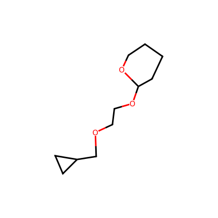 C1CCC(OCCOCC2CC2)OC1